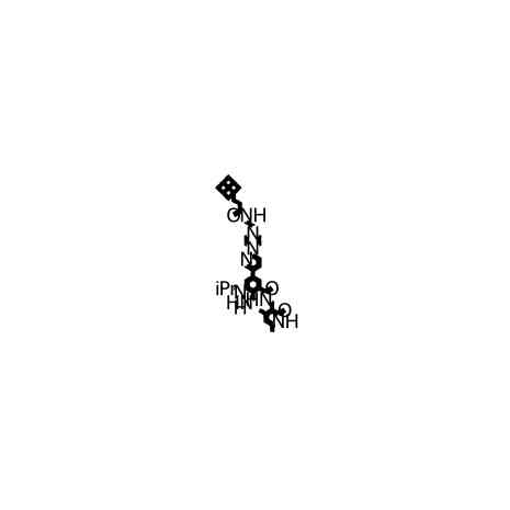 Cc1cc(C)c(CNC(=O)c2cc(-c3ccc(N4CCN(CCNC(=O)CCC56CC7CC8CC(C5)C876)CC4)nc3)cc(NC(C)C)c2C=N)c(=O)[nH]1